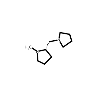 CN1CCC[C@H]1CN1CCCC1